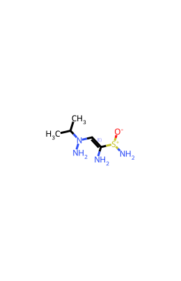 CC(C)N(N)/C=C(\N)[S+](N)[O-]